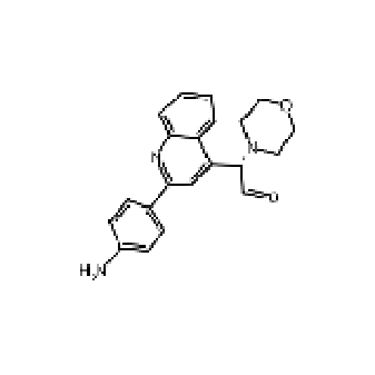 Nc1ccc(-c2cc([C@@H](C=O)N3CCOCC3)c3ccccc3n2)cc1